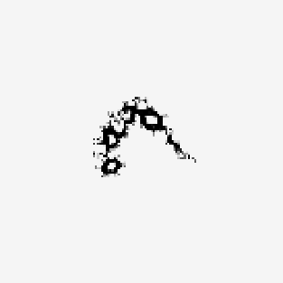 C=CCOc1ccc(C(C)(C=C)CCCc2ccc(F)c(Nc3ccccc3)c2)cc1